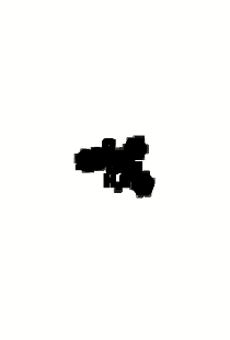 Cn1c(C2CCCCC2)nc2c1nc(C=C1C(=O)c3cc4ccccc4cc3C1=O)n2-c1ccccc1